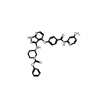 Cc1ccnc(NC(=O)c2ccc(Oc3ccnc4[nH]nc(N[C@@H]5CCCN(C(=O)Oc6ccccc6)C5)c34)cc2)c1